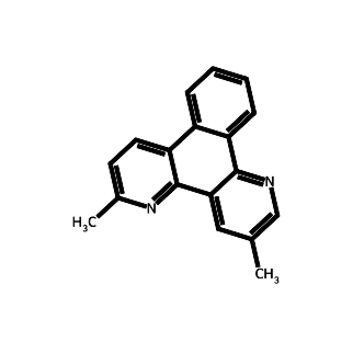 Cc1cnc2c3ccccc3c3ccc(C)nc3c2c1